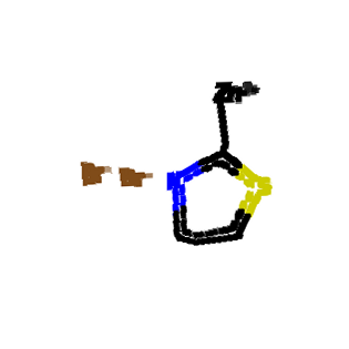 [Br-].[Br-].[Zn+2][c]1nccs1